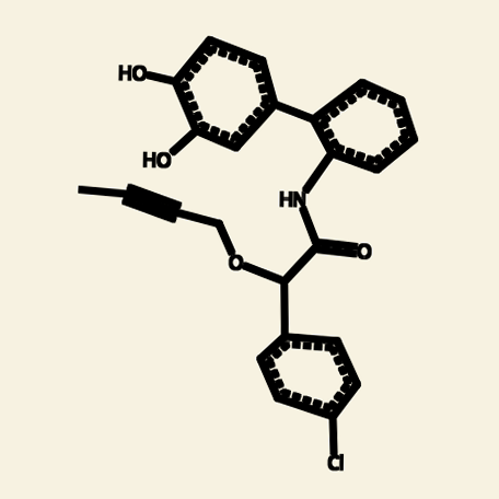 CC#CCOC(C(=O)Nc1ccccc1-c1ccc(O)c(O)c1)c1ccc(Cl)cc1